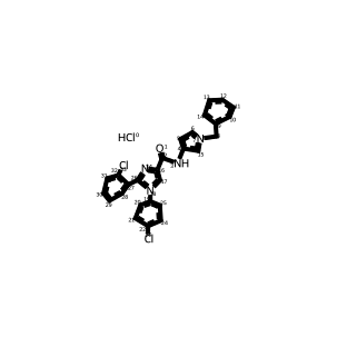 Cl.O=C(Nc1ccn(Cc2ccccc2)c1)c1cn(-c2ccc(Cl)cc2)c(-c2ccccc2Cl)n1